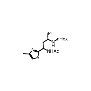 CCCCCCNC(CC(NC(C)=O)c1nc(C)cs1)C(C)C